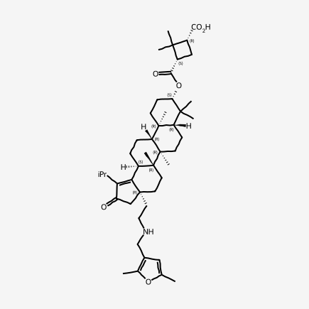 Cc1cc(CNCC[C@@]23CC[C@]4(C)[C@H](CC[C@@H]5[C@@]6(C)CC[C@H](OC(=O)[C@H]7C[C@@H](C(=O)O)C7(C)C)C(C)(C)[C@@H]6CC[C@]54C)C2=C(C(C)C)C(=O)C3)c(C)o1